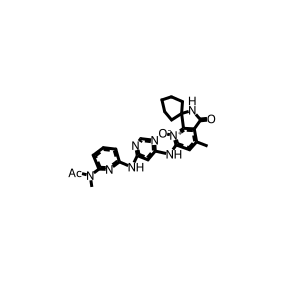 CC(=O)N(C)c1cccc(Nc2cc(Nc3cc(C)c4c([n+]3[O-])C3(CCCCC3)NC4=O)ncn2)n1